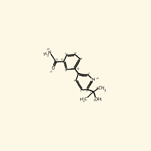 CC(C)(O)c1ccc(-c2cccc(C(N)=O)c2)cn1